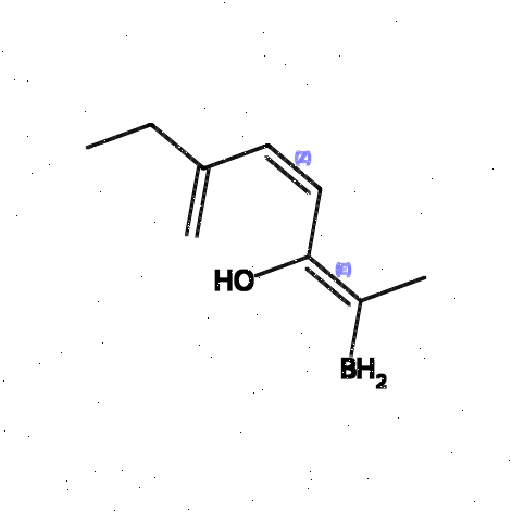 B/C(C)=C(O)/C=C\C(=C)CC